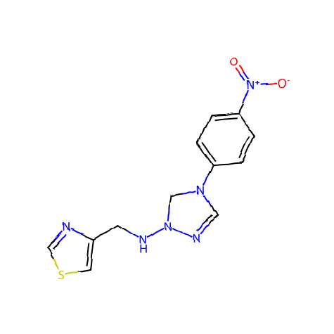 O=[N+]([O-])c1ccc(N2C=NN(NCc3cscn3)C2)cc1